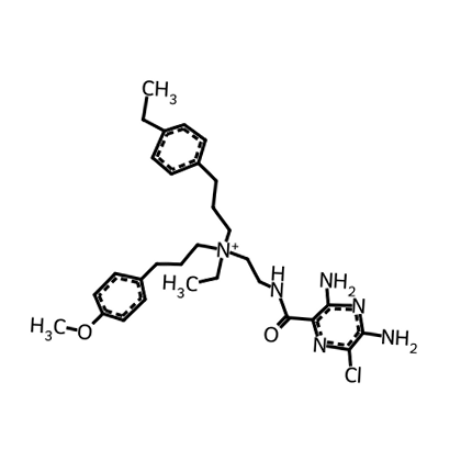 CCc1ccc(CCC[N+](CC)(CCCc2ccc(OC)cc2)CCNC(=O)c2nc(Cl)c(N)nc2N)cc1